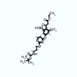 CCOC(=O)CC1OB(O)c2cc(Oc3ccnc(OCCCNC(=O)OC(C)(C)C)n3)cc(C)c21